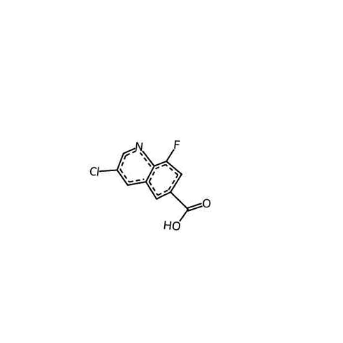 O=C(O)c1cc(F)c2ncc(Cl)cc2c1